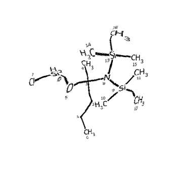 CCCC(C)(O[SiH2]Cl)N([Si](C)(C)C)[Si](C)(C)C